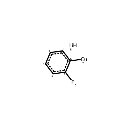 Fc1cccc[c]1[Cu].[LiH]